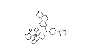 c1ccc(-c2ccc(N(c3ccc4c(c3)[Si]3(c5ccccc5Oc5ccccc53)c3ccccc3-4)c3ccc4c(ccc5ccccc54)c3)cc2)cc1